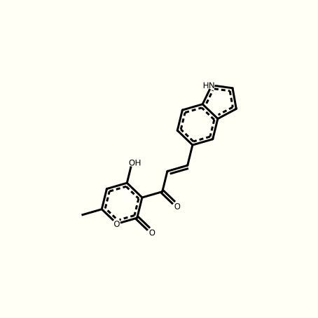 Cc1cc(O)c(C(=O)C=Cc2ccc3[nH]ccc3c2)c(=O)o1